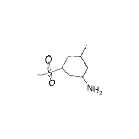 CC1CC(N)CC(S(C)(=O)=O)C1